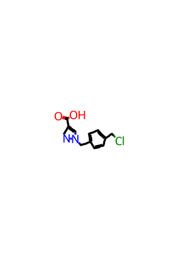 O=C(O)c1cnn(Cc2ccc(CCl)cc2)c1